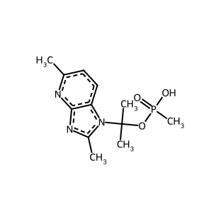 Cc1ccc2c(n1)nc(C)n2C(C)(C)OP(C)(=O)O